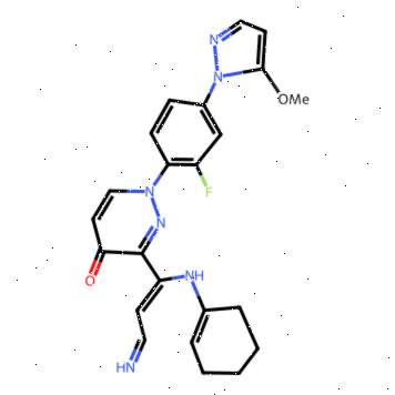 COc1ccnn1-c1ccc(-n2ccc(=O)c(/C(=C/C=N)NC3=CCCCC3)n2)c(F)c1